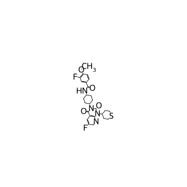 COc1ccc(C(=O)N[C@H]2CC[C@@H](n3c(=O)c4cc(F)cnc4n(C4CCSCC4)c3=O)CC2)cc1F